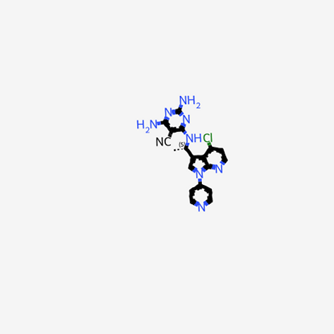 C[C@H](Nc1nc(N)nc(N)c1C#N)c1cn(-c2ccncc2)c2nccc(Cl)c12